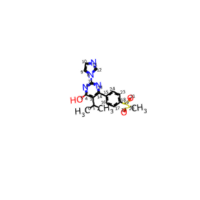 CC(C)c1c(O)nc(-n2ccnc2)nc1-c1ccc(S(C)(=O)=O)cc1